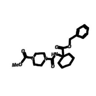 COC(=O)N1CCN(C(=O)NC2(C(=O)OCc3ccccc3)CCCCC2)CC1